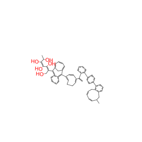 C=C(C1=C/CC/C=C(C2=c3ccccc3=C(/C(CO)=C(O)/C(O)=C(/O)C(C)O)C3=CC=CC=C2C3)/C=C\1)c1ccccc1-c1ccc(-c2cccc3c2C/C=C\C=C/C(C)C3)cc1